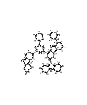 c1ccc(-c2nc(-c3ccc4oc5ccccc5c4c3)nc(-c3cc(-n4c5ccccc5c5ccccc54)cc4c3oc3c(-c5ccccc5)cccc34)n2)cc1